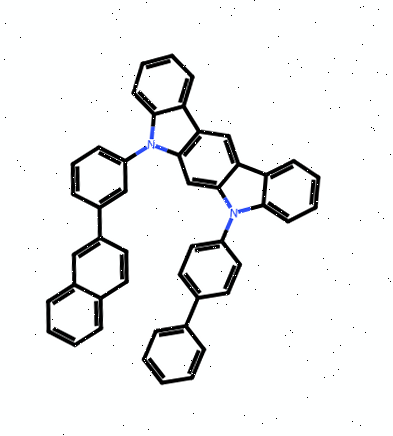 c1ccc(-c2ccc(-n3c4ccccc4c4cc5c6ccccc6n(-c6cccc(-c7ccc8ccccc8c7)c6)c5cc43)cc2)cc1